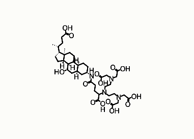 C[C@H](CCC(=O)O)[C@H]1CC[C@H]2[C@@H]3[C@H](O)C[C@@H]4C[C@@H](NC(=O)CCC(C(=O)O)N(CCN(CC(=O)O)CC(=O)O)CCN(CC(=O)O)CC(=O)O)CC[C@]4(C)[C@H]3CC[C@]12C